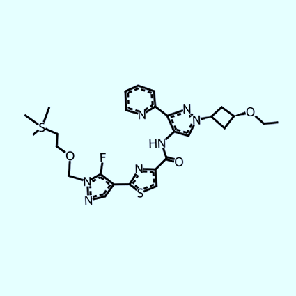 CCO[C@H]1C[C@@H](n2cc(NC(=O)c3csc(-c4cnn(COCCS(C)(C)C)c4F)n3)c(-c3ccccn3)n2)C1